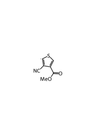 COC(=O)c1cs[c]c1C#N